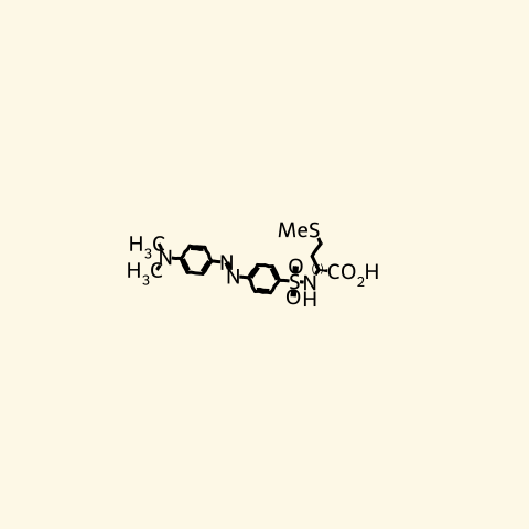 CSCC[C@H](NS(=O)(=O)c1ccc(N=Nc2ccc(N(C)C)cc2)cc1)C(=O)O